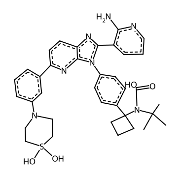 CC(C)(C)N(C(=O)O)C1(c2ccc(-n3c(-c4cccnc4N)nc4ccc(-c5cccc(N6CCS(O)(O)CC6)c5)nc43)cc2)CCC1